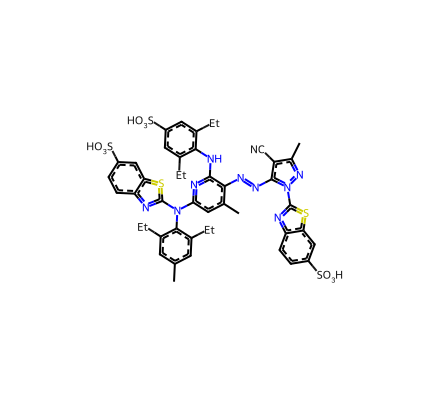 CCc1cc(S(=O)(=O)O)cc(CC)c1Nc1nc(N(c2nc3ccc(S(=O)(=O)O)cc3s2)c2c(CC)cc(C)cc2CC)cc(C)c1N=Nc1c(C#N)c(C)nn1-c1nc2ccc(S(=O)(=O)O)cc2s1